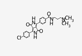 CN(C)CCCNC(=O)c1ccc(C2=C3C(=O)NC(c4ccc(Cl)cc4)=C3C(=O)N2)cc1